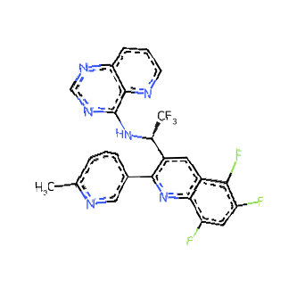 Cc1ccc(-c2nc3c(F)cc(F)c(F)c3cc2[C@@H](Nc2ncnc3cccnc23)C(F)(F)F)cn1